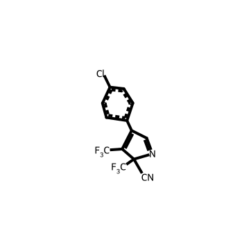 N#CC1(C(F)(F)F)N=CC(c2ccc(Cl)cc2)=C1C(F)(F)F